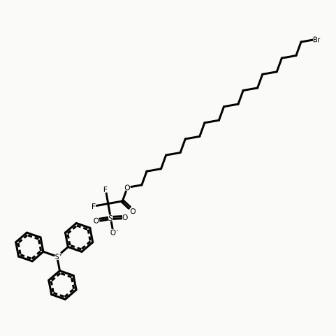 O=C(OCCCCCCCCCCCCCCCCCCBr)C(F)(F)S(=O)(=O)[O-].c1ccc([S+](c2ccccc2)c2ccccc2)cc1